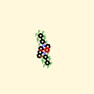 Fc1c(F)c(F)c(-c2c(F)c(F)c(N(c3ccccc3C3=CC=CCC3N(c3c(F)c(F)c(-c4c(F)c(F)c(F)c(F)c4F)c(F)c3F)c3cccc4ccccc34)c3cccc4ccccc34)c(F)c2F)c(F)c1F